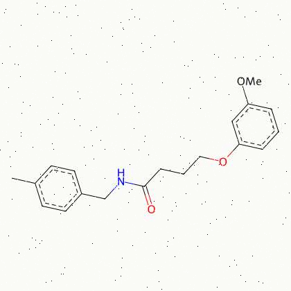 COc1cccc(OCCCC(=O)NCc2ccc(C)cc2)c1